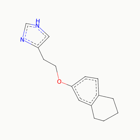 c1nc(CCOc2ccc3c(c2)CCCC3)c[nH]1